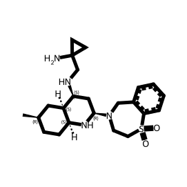 C[C@@H]1CC[C@@H]2N[C@H](N3CCS(=O)(=O)c4ccccc4C3)C[C@H](NCC3(N)CC3)[C@@H]2C1